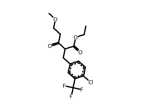 CCOC(=O)C(Cc1ccc(Cl)c(C(F)(F)F)c1)C(=O)CCOC